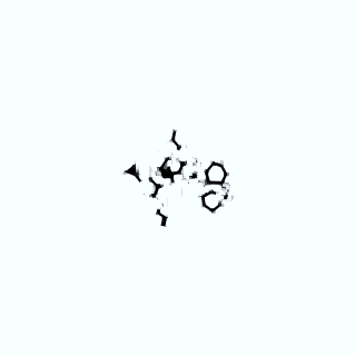 C=CCNC(=O)C(=O)[C@H](CC1CC1)NC(=O)[C@H](C)N(CCC)C(=O)[C@@H](NC(=O)NC1([C@H]2CCCCS2(=O)=O)CCCCC1)C(C)(C)C